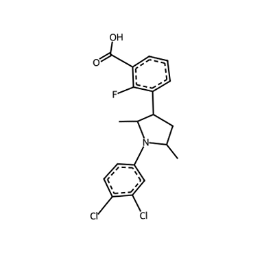 CC1CC(c2cccc(C(=O)O)c2F)C(C)N1c1ccc(Cl)c(Cl)c1